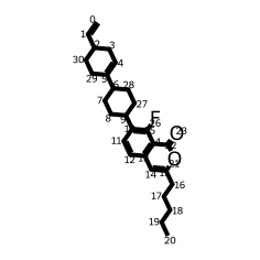 C=CC1CC=C(C2CCC(c3ccc4cc(CCCCC)oc(=O)c4c3F)CC2)CC1